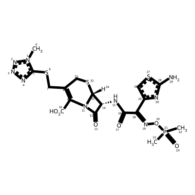 Cn1nnnc1SCC1=C(C(=O)O)N2C(=O)[C@@H](NC(=O)/C(=N/OP(C)(C)=O)c3csc(N)n3)[C@H]2SC1